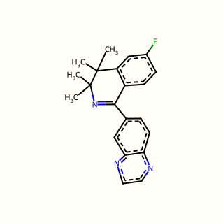 CC1(C)N=C(c2ccc3nccnc3c2)c2ccc(F)cc2C1(C)C